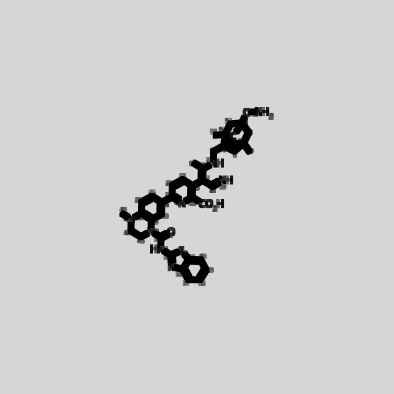 C/C(NCC12CC3(C)CC(ON)(CC1(C)C3)C2)=C(/C=N)c1ccc(-c2ccc3c(c2)N(C(=O)Nc2nc4ccccc4s2)CCN3C)nc1C(=O)O